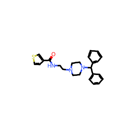 O=C(NCCN1CCN(C(c2ccccc2)c2ccccc2)CC1)c1ccsc1